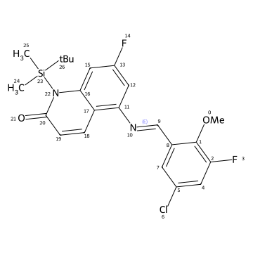 COc1c(F)cc(Cl)cc1/C=N/c1cc(F)cc2c1ccc(=O)n2[Si](C)(C)C(C)(C)C